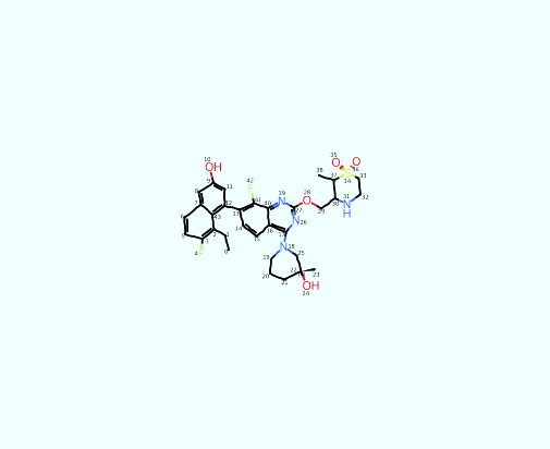 CCc1c(F)ccc2cc(O)cc(-c3ccc4c(N5CCC[C@@](C)(O)C5)nc(OCC5NCCS(=O)(=O)C5C)nc4c3F)c12